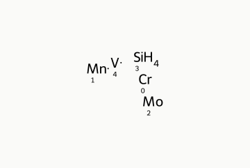 [Cr].[Mn].[Mo].[SiH4].[V]